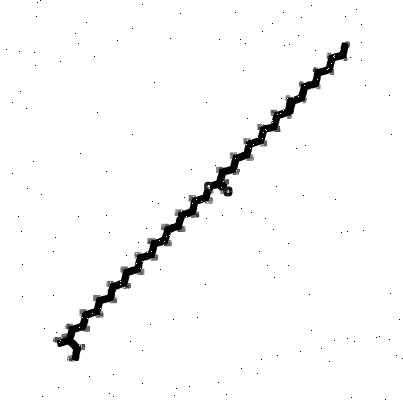 CCCCCCCCC=CCCCCCCCCCC(=O)OCCCCCCCCCCCCCCCCCCCCC(C)CC